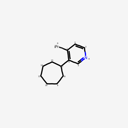 CC(C)c1ccncc1C1CCCCCC1